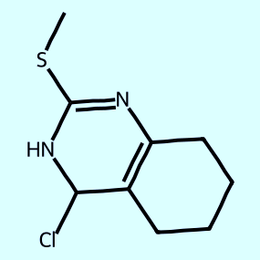 CSC1=NC2=C(CCCC2)C(Cl)N1